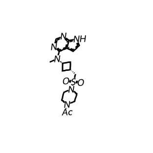 CC(=O)N1CCN(S(=O)(=O)C[C@H]2C[C@@H](N(C)c3ncnc4[nH]ccc34)C2)CC1